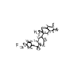 NC(Cc1cc(F)c(F)cc1F)C1CCN(C(=O)c2ccc(C(F)(F)F)nc2)CC1